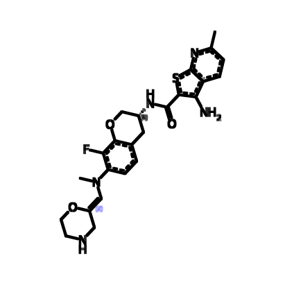 Cc1ccc2c(N)c(C(=O)N[C@H]3COc4c(ccc(N(C)/C=C5/CNCCO5)c4F)C3)sc2n1